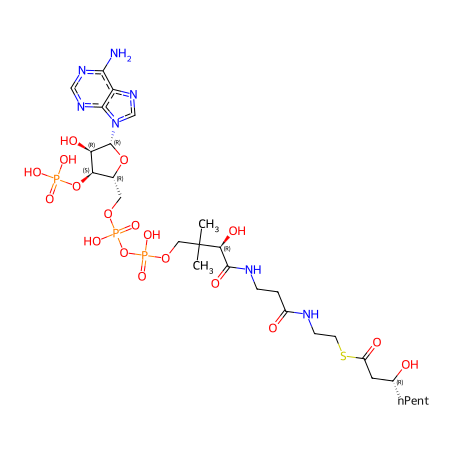 CCCCC[C@@H](O)CC(=O)SCCNC(=O)CCNC(=O)[C@H](O)C(C)(C)COP(=O)(O)OP(=O)(O)OC[C@H]1O[C@@H](n2cnc3c(N)ncnc32)[C@H](O)[C@@H]1OP(=O)(O)O